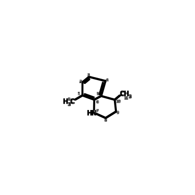 Cc1cccc2c1NCCC2C